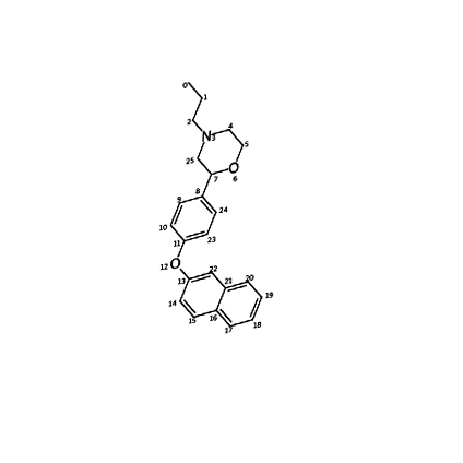 CCCN1CCOC(c2ccc(Oc3ccc4ccccc4c3)cc2)C1